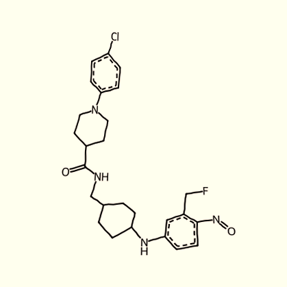 O=Nc1ccc(NC2CCC(CNC(=O)C3CCN(c4ccc(Cl)cc4)CC3)CC2)cc1CF